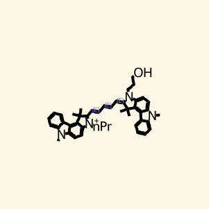 CCC[N+]1=C(/C=C/C=C/C=C2/N(CCCO)c3ccc4c(c3C2(C)C)c2ccccc2n4C)C(C)(C)c2c1ccc1c2c2ccccc2n1C